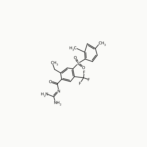 CCc1cc(S(=O)(=O)c2ccc(C)cc2C)c(C(F)(F)F)cc1C(=O)N=C(N)N